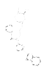 O=C1CN(CCCN(C(=O)c2cccs2)c2nc(-c3cc4ccccc4o3)cs2)CCN1